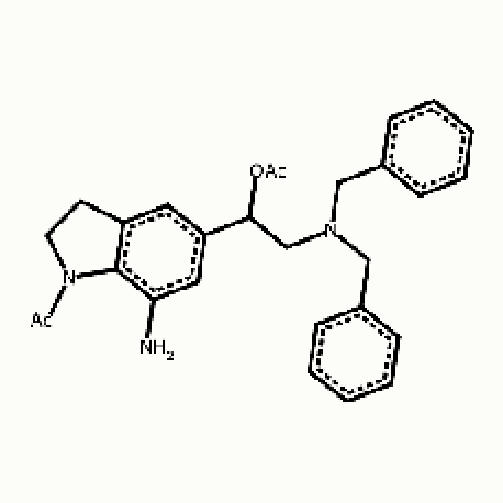 CC(=O)OC(CN(Cc1ccccc1)Cc1ccccc1)c1cc(N)c2c(c1)CCN2C(C)=O